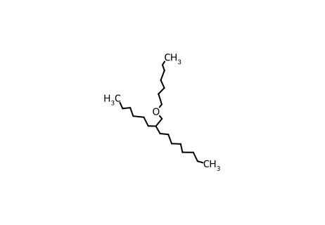 CCCCCCCCC(CCCCCC)COCCCCCCC